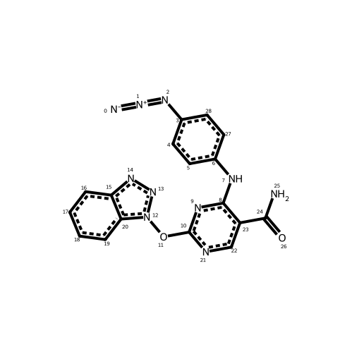 [N-]=[N+]=Nc1ccc(Nc2nc(On3nnc4ccccc43)ncc2C(N)=O)cc1